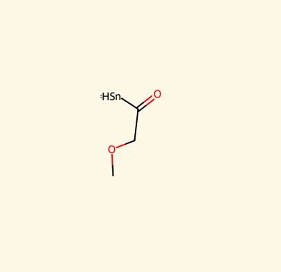 COC[C](=O)[SnH]